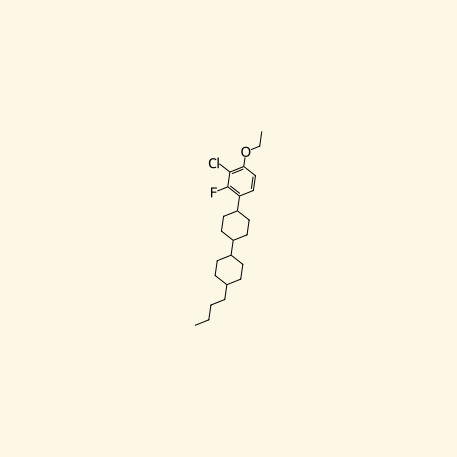 CCCCC1CCC(C2CCC(c3ccc(OCC)c(Cl)c3F)CC2)CC1